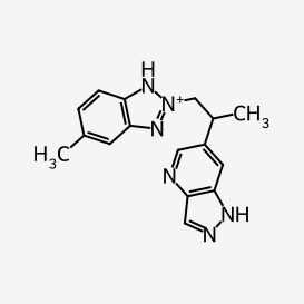 Cc1ccc2[nH][n+](CC(C)c3cnc4cn[nH]c4c3)nc2c1